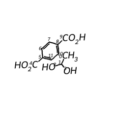 CC(O)O.O=C(O)c1ccc(C(=O)O)cc1